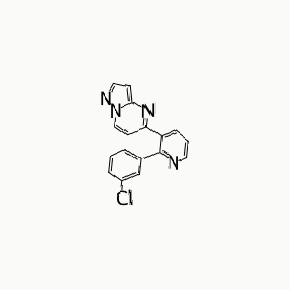 Clc1cccc(-c2ncccc2-c2ccn3nccc3n2)c1